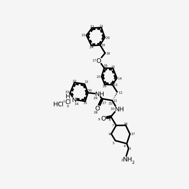 Cl.Cl.NCC1CCC(C(=O)N[C@@H](Cc2ccc(OCc3ccccc3)cc2)C(=O)Nc2cccnc2)CC1